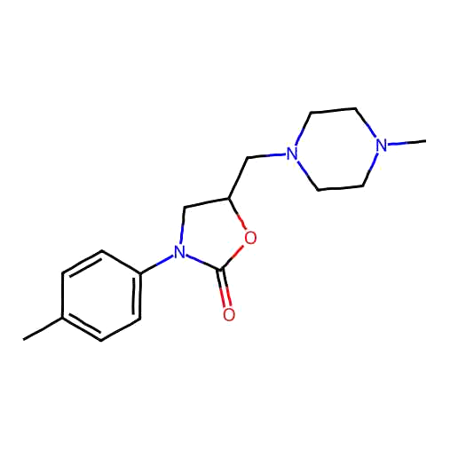 Cc1ccc(N2CC(CN3CCN(C)CC3)OC2=O)cc1